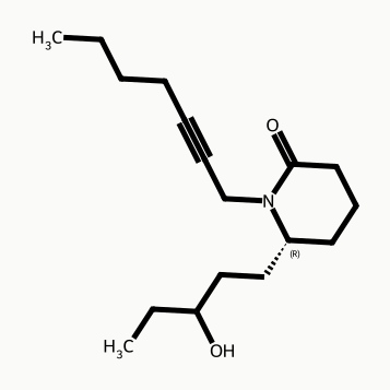 CCCCC#CCN1C(=O)CCC[C@@H]1CCC(O)CC